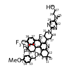 COc1ccc(CO[C@H]2CC(C)(C)Cc3nc(C4CCN(c5ncc(N(C)CCO)cn5)CC4)c([C@@H](F)c4ccc(C(F)(F)F)cc4)c(C4CCC(F)(F)CC4)c32)cc1